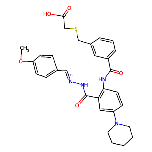 COc1ccc(/C=N/NC(=O)c2cc(N3CCCCC3)ccc2NC(=O)c2cccc(CSCC(=O)O)c2)cc1